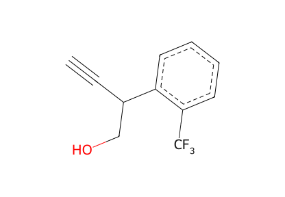 C#CC(CO)c1ccccc1C(F)(F)F